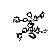 C1=CCCC(B2N(c3ccc(-c4cccnc4)cc3)c3cc4c(cc3N2c2ccc(-c3cccnc3)cc2)N(c2ccc(-c3cccnc3)cc2)B(c2ccccc2)N4c2ccc(-c3cccnc3)cc2)=C1